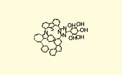 Oc1c(O)c(O)c(-c2nc(-c3ccc4c(ccc5ccccc54)c3)nc(-c3cccc4c3sc3c(-n5c6c(c7ccccc75)C(c5ccccc5)=CCC=C6)cccc34)n2)c(O)c1O